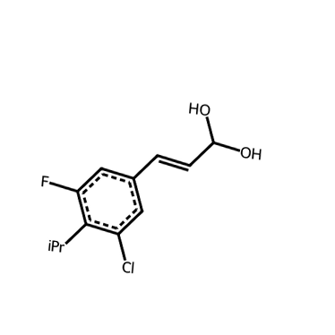 CC(C)c1c(F)cc(/C=C/C(O)O)cc1Cl